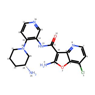 Nc1oc2c(Cl)ccnc2c1C(=O)Nc1cnccc1N1CCC[C@@H](N)C1